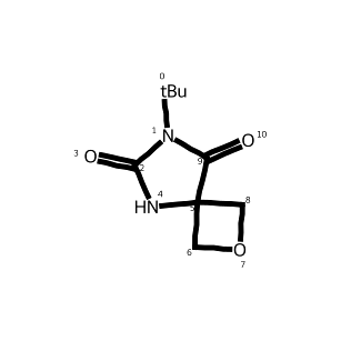 CC(C)(C)N1C(=O)NC2(COC2)C1=O